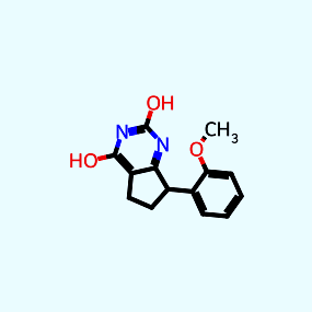 COc1ccccc1C1CCc2c(O)nc(O)nc21